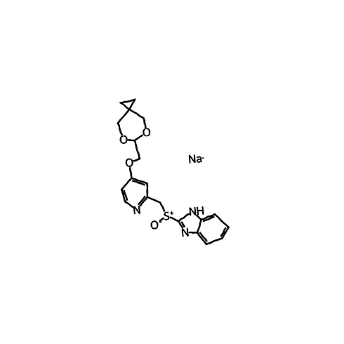 [Na].[O-][S+](Cc1cc(OCC2OCC3(CC3)CO2)ccn1)c1nc2ccccc2[nH]1